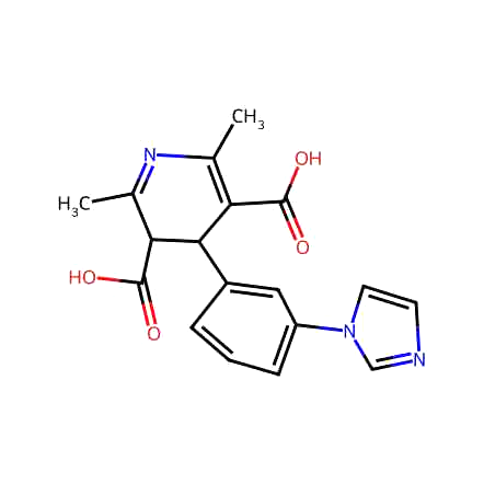 CC1=NC(C)=C(C(=O)O)C(c2cccc(-n3ccnc3)c2)C1C(=O)O